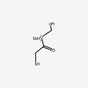 CCCCOC(=O)CS.[SbH3]